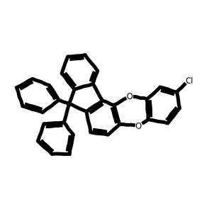 Clc1ccc2c(c1)Oc1c(ccc3c1-c1ccccc1C3(c1ccccc1)c1ccccc1)O2